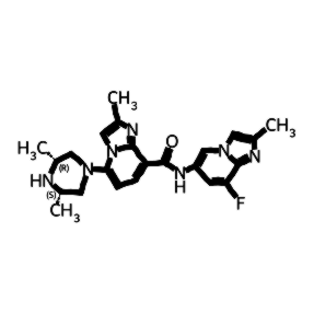 Cc1cn2cc(NC(=O)c3ccc(N4C[C@@H](C)N[C@@H](C)C4)n4cc(C)nc34)cc(F)c2n1